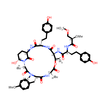 CC[C@@H](C)[C@@H]1NC(=O)[C@H](Cc2ccc(OC)cc2)N(C)C(=O)[C@H]([C@@H](C)CC)N2C(=O)[C@H](CC[C@H]2O)NC(=O)[C@H](CCc2ccc(O)cc2)NC(=O)[C@@H](NC(=O)[C@H](CCc2ccc(O)cc2)NC(=O)[C@@H](COS(=O)(=O)O)OC)[C@@H](C)OC1=O